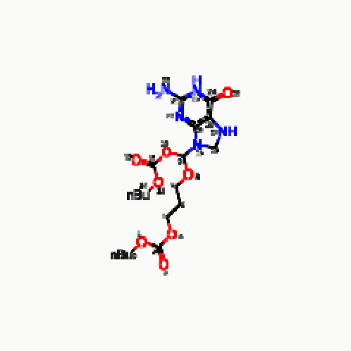 CCCCOC(=O)OCCCOC(OC(=O)OCCCC)N1CNc2c1nc(N)[nH]c2=O